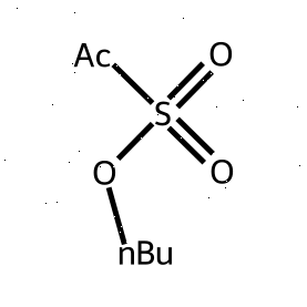 CCCCOS(=O)(=O)C(C)=O